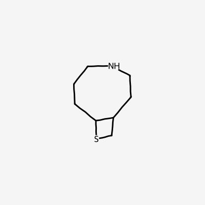 C1CNCCC2CSC2C1